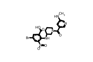 CNc1cncc(C(=O)N2CCCC(Nc3c(C(=O)O)cc(Br)cc3[N+](=O)[O-])C2)c1